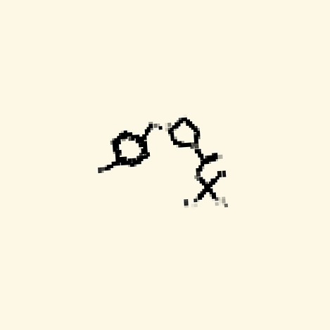 CC(C)(C)OC(=O)N1CC[C@@H](Cc2ccc(Br)cc2)C1